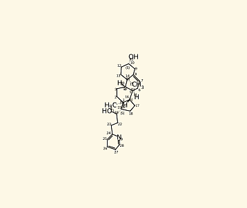 C[C@]12CC[C@H]3[C@@H](CC=C4C[C@@H](O)CC[C@@]43C)[C@@H]1CC[C@@H]2C(O)CCc1ccccn1